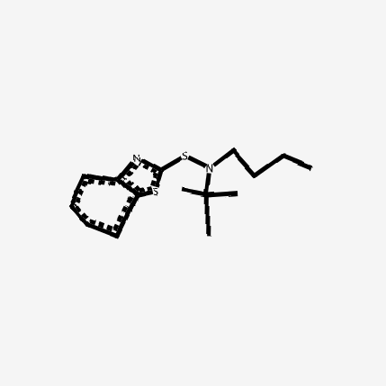 CCCCN(Sc1nc2ccccc2s1)C(C)(C)C